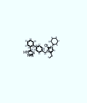 CCc1cn(C2CCCCC2)c(=O)n1Cc1ccc(-c2ccccc2-c2nnn[nH]2)cc1